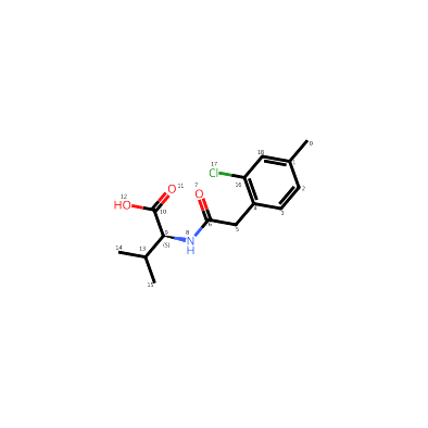 Cc1ccc(CC(=O)N[C@H](C(=O)O)C(C)C)c(Cl)c1